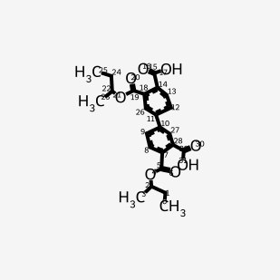 CCC(C)OC(=O)c1ccc(-c2ccc(C(=O)O)c(C(=O)OC(C)CC)c2)cc1C(=O)O